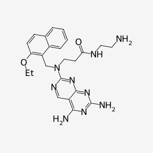 CCOc1ccc2ccccc2c1CN(CCC(=O)NCCN)c1ncc2c(N)nc(N)nc2n1